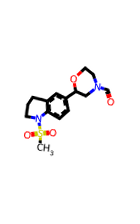 CS(=O)(=O)N1CCCc2cc(C3CN(C=O)CCO3)ccc21